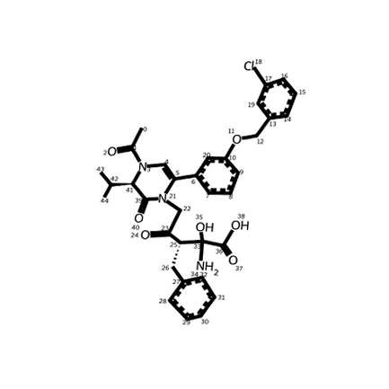 CC(=O)N1C=C(c2cccc(OCc3cccc(Cl)c3)c2)N(CC(=O)[C@@H](Cc2ccccc2)C(N)(O)C(=O)O)C(=O)[C@H]1C(C)C